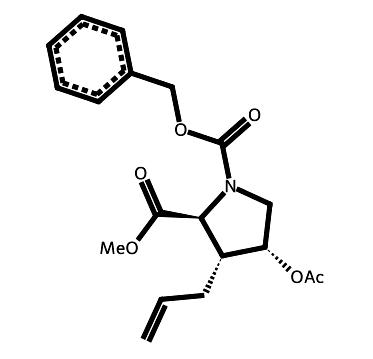 C=CC[C@H]1[C@@H](OC(C)=O)CN(C(=O)OCc2ccccc2)[C@@H]1C(=O)OC